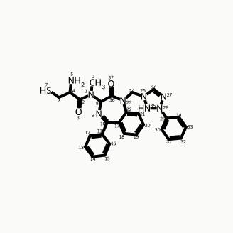 CN(C(=O)C(N)CS)C1N=C(c2ccccc2)c2ccccc2N(CN2C=NN(c3ccccc3)N2)C1=O